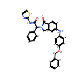 O=C(Nc1nccs1)C(c1ccccc1)N1Cc2cc(Nc3ccc(OCc4ccccc4)cc3)ccc2C1=O